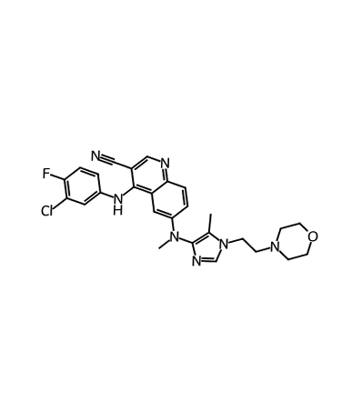 Cc1c(N(C)c2ccc3ncc(C#N)c(Nc4ccc(F)c(Cl)c4)c3c2)ncn1CCN1CCOCC1